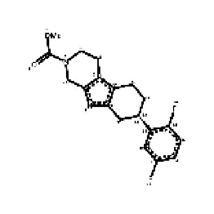 COC(=O)N1CCn2c(nc3c2CC[C@@H](c2cc(F)ccc2F)C3)C1